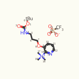 CC(C)(C)OC(=O)NCCCOc1cccnc1[N+](C)(C)C.O=S(=O)([O-])C(F)(F)F